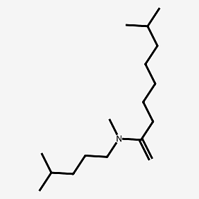 C=C(CCCCCC(C)C)N(C)CCCC(C)C